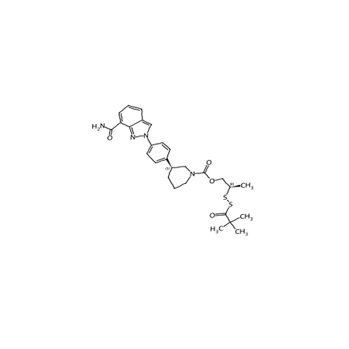 C[C@H](COC(=O)N1CCC[C@@H](c2ccc(-n3cc4cccc(C(N)=O)c4n3)cc2)C1)SSC(=O)C(C)(C)C